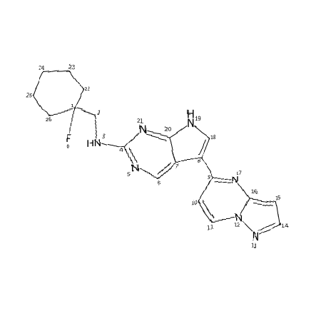 FC1(CNc2ncc3c(-c4ccn5nccc5n4)c[nH]c3n2)CCCCC1